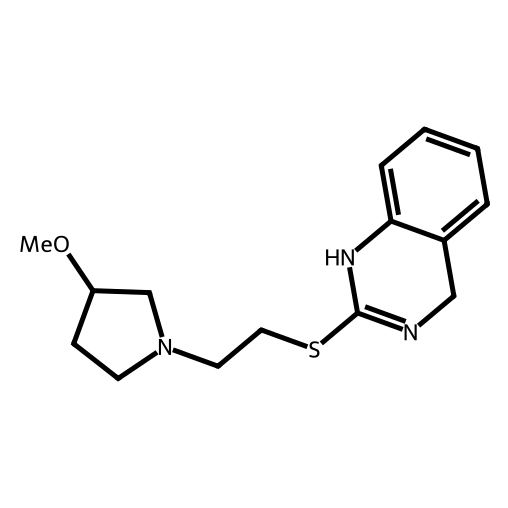 COC1CCN(CCSC2=NCc3ccccc3N2)C1